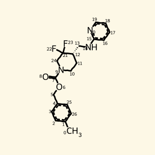 Cc1ccc(COC(=O)N2CC[C@@H](CNc3ccccn3)C(F)(F)C2)cc1